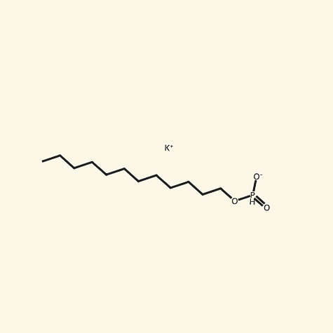 CCCCCCCCCCCCO[PH](=O)[O-].[K+]